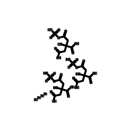 O=C(O)CC(O)(CC(=O)OS(=O)(=O)O)C(=O)O.O=C(O)CC(O)(CC(=O)OS(=O)(=O)O)C(=O)O.O=C(O)CC(O)(CC(=O)OS(=O)(=O)O)C(=O)O.[Zn].[Zn].[Zn].[Zn]